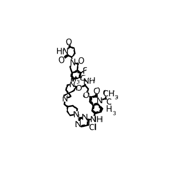 CNC(=O)COc1cc2cc(Nc3nc(N4CCC(CN5CC6(CCN(c7cc(F)c8c(c7)CN(C7CCC(=O)NC7=O)C8=O)CC6)C5)CC4)ncc3Cl)ccc2n(C(C)C)c1=O